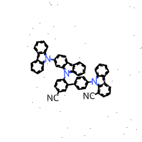 N#Cc1ccc(-n2c3ccccc3c3ccc(-n4c5ccccc5c5ccccc54)cc32)c(-c2ccc(-n3c4ccccc4c4cccc(C#N)c43)cc2)c1